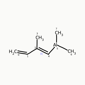 C=C/C(C)=[CH]/[Al]([CH3])[CH3]